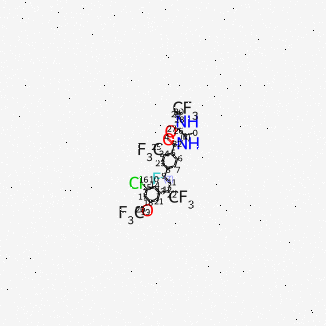 C[C@@H](NC(=O)c1ccc(/C(F)=C/C(c2cc(Cl)cc(OC(F)(F)F)c2)C(F)(F)F)cc1C(F)(F)F)C(=O)NCC(F)(F)F